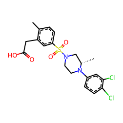 Cc1ccc(S(=O)(=O)N2CCN(c3ccc(Cl)c(Cl)c3)[C@@H](C)C2)cc1CC(=O)O